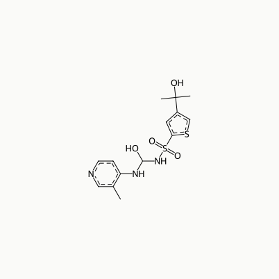 Cc1cnccc1NC(O)NS(=O)(=O)c1cc(C(C)(C)O)cs1